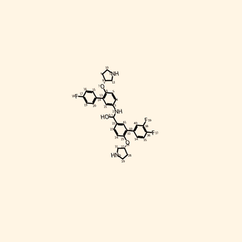 OC(Nc1ccc(O[C@@H]2CCNC2)c(-c2ccc(F)cc2)c1)c1ccc(O[C@@H]2CCNC2)c(-c2ccc(F)c(F)c2)c1